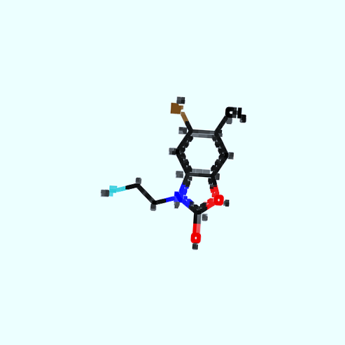 Cc1cc2oc(=O)n(CCF)c2cc1Br